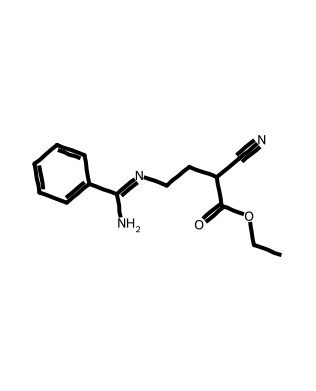 CCOC(=O)C(C#N)CCN=C(N)c1ccccc1